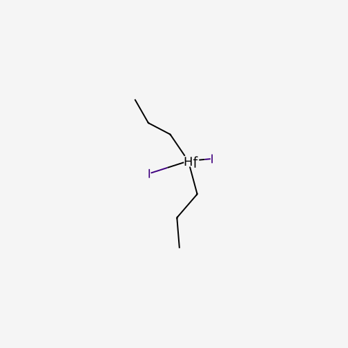 CC[CH2][Hf]([I])([I])[CH2]CC